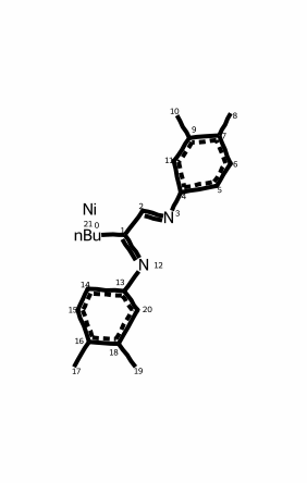 CCCCC(C=Nc1ccc(C)c(C)c1)=Nc1ccc(C)c(C)c1.[Ni]